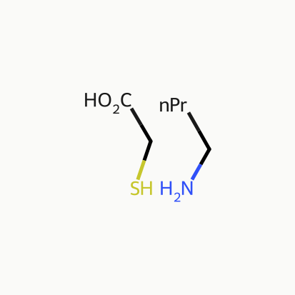 CCCCN.O=C(O)CS